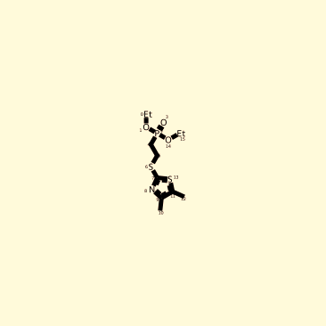 CCOP(=O)(CCSc1nc(C)c(C)s1)OCC